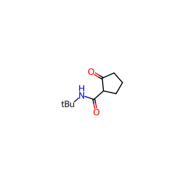 CC(C)(C)NC(=O)C1CCCC1=O